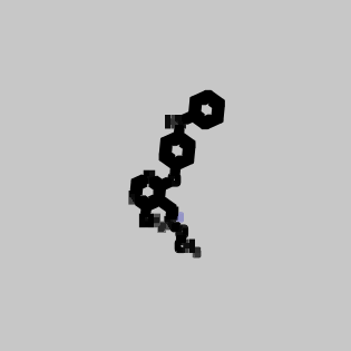 CO/N=C/c1c(N)ncnc1Oc1ccc(Nc2ccccc2)cc1